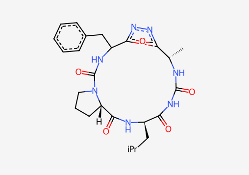 CC(C)C[C@H]1NC(=O)[C@@H]2CCCN2C(=O)NC(Cc2ccccc2)c2nnc(o2)[C@H](C)NC(=O)NC1=O